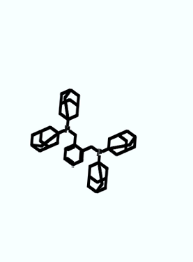 [c]1ccc(CP(C23CC4CC(CC(C4)C2)C3)C23CC4CC(CC(C4)C2)C3)c(CP(C23CC4CC(CC(C4)C2)C3)C23CC4CC(CC(C4)C2)C3)c1